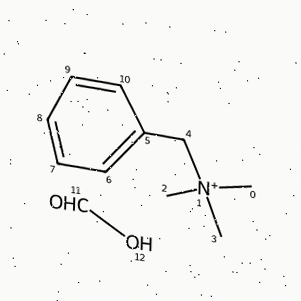 C[N+](C)(C)Cc1ccccc1.O=CO